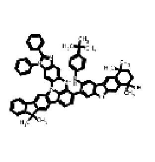 CC(C)(C)c1ccc(Nc2cc3c(cc2-c2ccc4c5cc6c(cc5n5c4c2Bc2cc4nc(-c7ccccc7)n(-c7ccccc7)c4cc2-5)-c2ccccc2C6(C)C)oc2cc4c(cc23)C(C)(C)CCC4(C)C)cc1